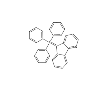 c1ccc(P(=C2c3ccccc3-c3ncccc32)(c2ccccc2)c2ccccc2)cc1